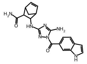 NC(=O)C1C2C=CC(C2)C1Nc1nc(N)n(C(=O)c2ccc3cc[nH]c3c2)n1